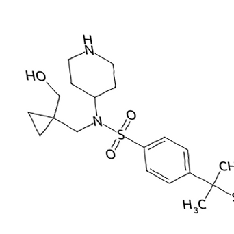 CC(C)(S)c1ccc(S(=O)(=O)N(CC2(CO)CC2)C2CCNCC2)cc1